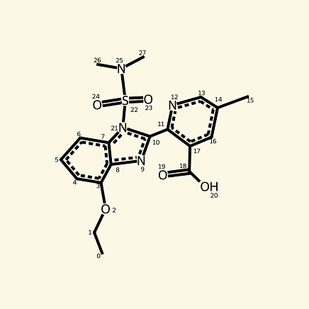 CCOc1cccc2c1nc(-c1ncc(C)cc1C(=O)O)n2S(=O)(=O)N(C)C